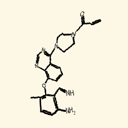 C=CC(=O)N1CCN(c2ncnc3c(Oc4c(C)ccc(N)c4C=N)cccc23)CC1